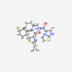 Cc1nc2sccn2c1C(=O)NC[C@@H]1CCCCN1C(=O)c1nc(C2CC2)sc1-c1ccc(F)cc1